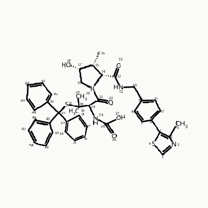 Cc1ncsc1-c1ccc(CNC(=O)[C@H]2[C@@H](F)[C@@H](O)CN2C(=O)C(NC(=O)O)C(C)(C)SC(c2ccccc2)(c2ccccc2)c2ccccc2)cc1